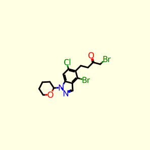 O=C(CBr)CCc1c(Cl)cc2c(cnn2C2CCCCO2)c1Br